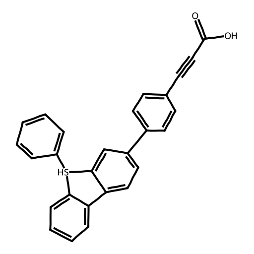 O=C(O)C#Cc1ccc(-c2ccc3c(c2)[SH](c2ccccc2)c2ccccc2-3)cc1